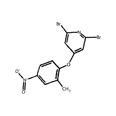 Cc1cc([N+](=O)[O-])ccc1Oc1cc(Br)nc(Br)c1